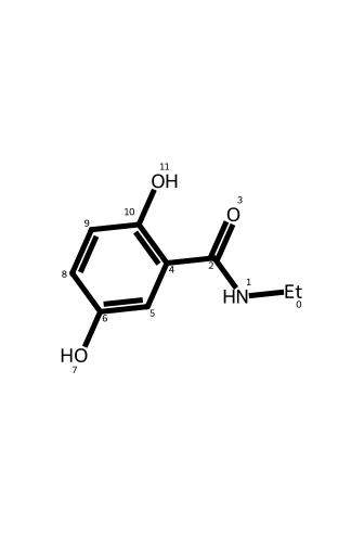 CCNC(=O)c1cc(O)ccc1O